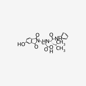 CC(C)C[C@H](N[C@H](CCN1C(=O)c2ccc(O)cc2C1=O)C(=O)O)C(=O)NCc1ccccc1